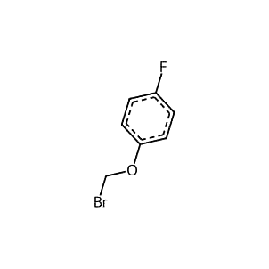 Fc1ccc(OCBr)cc1